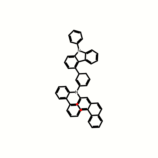 C1=CC(N(c2ccc3c(ccc4ccccc43)c2)c2ccccc2-c2ccccc2)=CC(c2cccc3c2c2ccccc2n3-c2ccccc2)C1